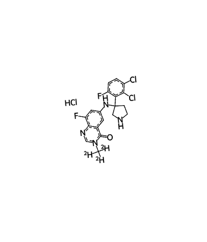 Cl.[2H]C([2H])([2H])n1cnc2c(F)cc(NC3(c4c(F)ccc(Cl)c4Cl)CCNC3)cc2c1=O